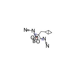 N#C/N=C1\OB2OCC1(CC1C3CC31)/C(=N/C#N)O2